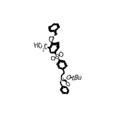 CC(C)(C)OC(=O)N(CCc1ccc(S(=O)(=O)c2ccc(OCc3ccccc3)c(C(=O)O)c2)cc1)Cc1ccccc1